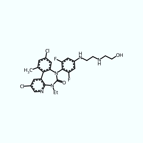 CCN1C(=O)N(c2c(F)cc(NCCNCCO)cc2F)c2cc(Cl)cc(C)c2-c2cc(Cl)cnc21